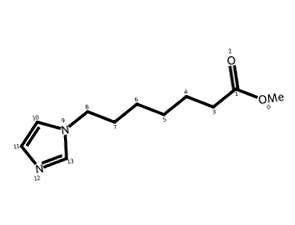 COC(=O)CCCCCCn1ccnc1